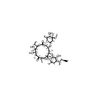 C#CCN(C)[C@H]1C[C@@H](C)O[C@@H](O[C@@H]2[C@@H](C)[C@H](O[C@H]3C[C@@](C)(OC)[C@@H](O)[C@H](C)O3)[C@@H](C)C(=O)O[C@H](CC)[C@@](C)(O)[C@H](O)[C@@H](C)C(=O)[C@H](C)C[C@@]2(C)O)[C@@H]1O